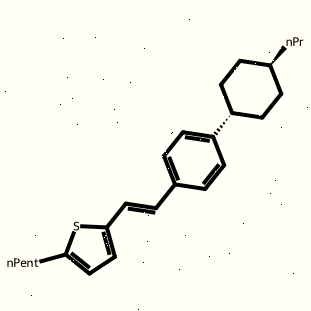 CCCCCc1ccc(C=Cc2ccc([C@H]3CC[C@H](CCC)CC3)cc2)s1